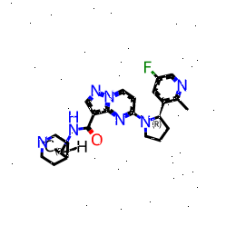 Cc1ncc(F)cc1[C@H]1CCCN1c1ccn2ncc(C(=O)N[C@H]3CN4CCC3CC4)c2n1